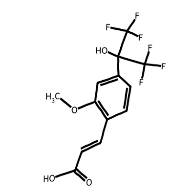 COc1cc(C(O)(C(F)(F)F)C(F)(F)F)ccc1/C=C/C(=O)O